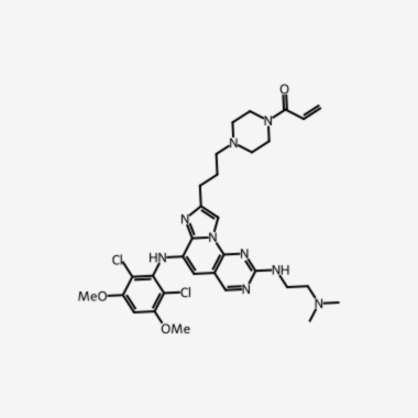 C=CC(=O)N1CCN(CCCc2cn3c(n2)c(Nc2c(Cl)c(OC)cc(OC)c2Cl)cc2cnc(NCCN(C)C)nc23)CC1